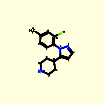 Cc1ccc(-n2nccc2C2CCNCC2)c(F)c1